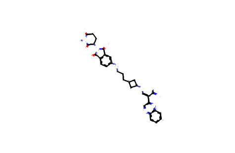 CC(=N)/C(=C\NC1CC(CCCNc2ccc3c(c2)C(=O)N(C2CCC(=O)N(C)C2=O)C3=O)C1)c1cnc2ccccc2n1